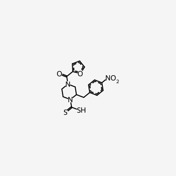 O=C(c1ccco1)N1CCN(C(=S)S)C(Cc2ccc([N+](=O)[O-])cc2)C1